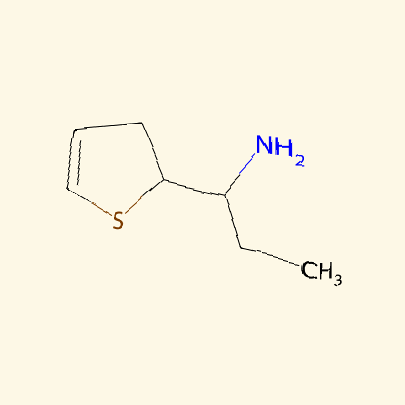 CCC(N)C1CC=CS1